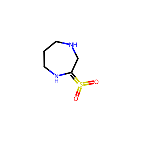 O=S(=O)=C1CNCCCN1